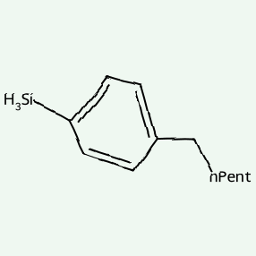 CCCCCCc1ccc([SiH3])cc1